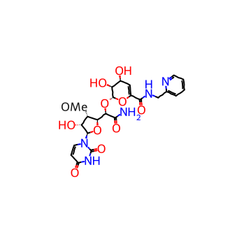 CO[C@H]1[C@@H](O)[C@H](n2ccc(=O)[nH]c2=O)O[C@@H]1[C@@H](O[C@H]1OC(C(=O)NCc2ccccn2)=C[C@H](O)[C@@H]1O)C(N)=O